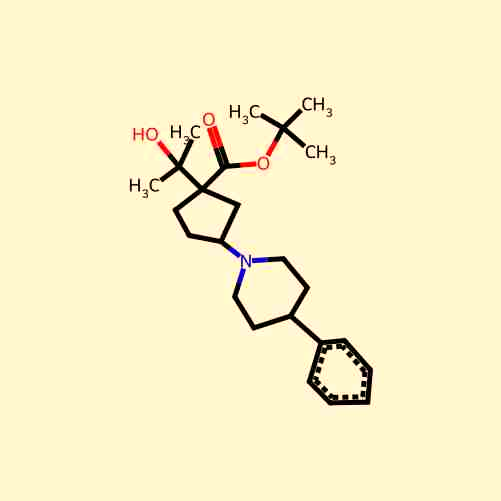 CC(C)(C)OC(=O)C1(C(C)(C)O)CCC(N2CCC(c3ccccc3)CC2)C1